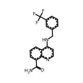 NC(=O)c1cccc2c(NCc3cccc(C(F)(F)F)c3)ccnc12